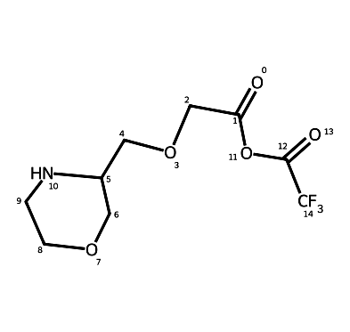 O=C(COCC1COCCN1)OC(=O)C(F)(F)F